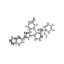 CCC1(Nc2cc(-c3cn(-c4ccc5nncn5n4)nc3-c3ccc(F)cc3)ccn2)C=CC=CC1